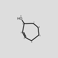 O[C]1C=CCCCC1